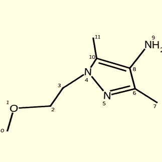 COCCn1nc(C)c(N)c1C